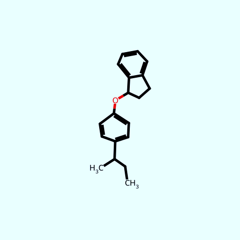 CCC(C)c1ccc(OC2CCc3ccccc32)cc1